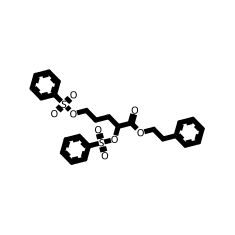 O=C(OCCc1ccccc1)C(CCCOS(=O)(=O)c1ccccc1)OS(=O)(=O)c1ccccc1